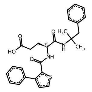 CC(C)(Cc1ccccc1)NC(=O)[C@H](CCC(=O)O)NC(=O)c1sccc1-c1ccccc1